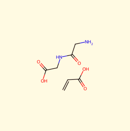 C=CC(=O)O.NCC(=O)NCC(=O)O